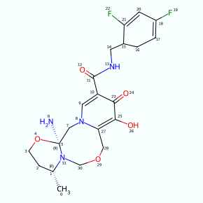 C[C@@H]1CCO[C@@]2(N)Cn3cc(C(=O)NCC4CC=C(F)C=C4F)c(=O)c(O)c3COCN12